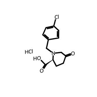 Cl.O=C1CC[C@@H](C(=O)O)N(Cc2ccc(Cl)cc2)C1